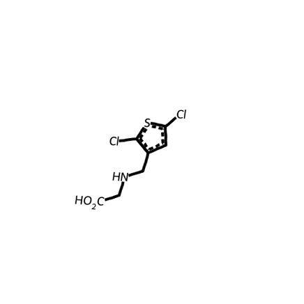 O=C(O)CNCc1cc(Cl)sc1Cl